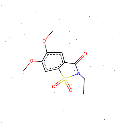 CCN1C(=O)c2cc(OC)c(OC)cc2S1(=O)=O